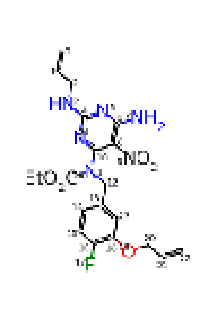 C=CCNc1nc(N)c([N+](=O)[O-])c(N(Cc2ccc(F)c(OCC=C)c2)C(=O)OCC)n1